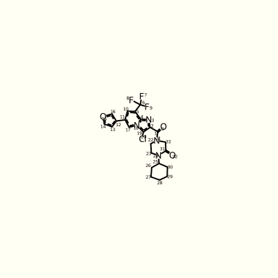 O=C(c1nc2c(C(F)(F)F)cc(-c3ccoc3)cn2c1Cl)N1CCN(C2CCCCC2)C(=O)C1